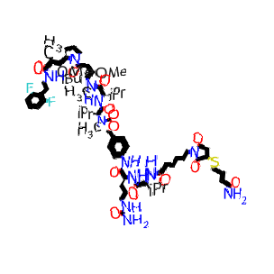 CC[C@H](C)[C@@H]([C@@H](CC(=O)N1CCC[C@H]1[C@H](OC)[C@@H](C)C(=O)NCCc1c(F)cccc1F)OC)N(C)C(=O)[C@@H](NC(=O)[C@H](C(C)C)N(C)C(=O)OCc1ccc(NC(=O)[C@H](CCCNC(N)=O)NC(=O)[C@@H](NC(=O)CCCCCN2C(=O)CC(SCCCC(N)=O)C2=O)C(C)C)cc1)C(C)C